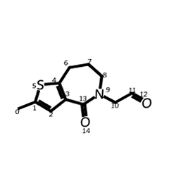 Cc1cc2c(s1)CCCN(CC=O)C2=O